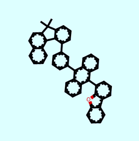 CC1(C)c2cccc(-c3cccc(-c4c5ccccc5c(-c5cccc6c5oc5ccccc56)c5ccccc45)c3)c2-c2c1ccc1ccccc21